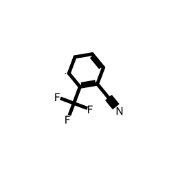 N#CC1=C(C(F)(F)F)[CH]CC=C1